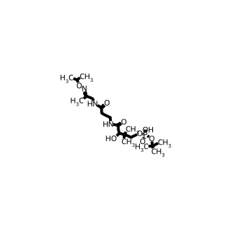 C/C(CNC(=O)CCNC(=O)C(O)C(C)(C)COP(=O)(O)OC(C)(C)C)=N\OC(C)C